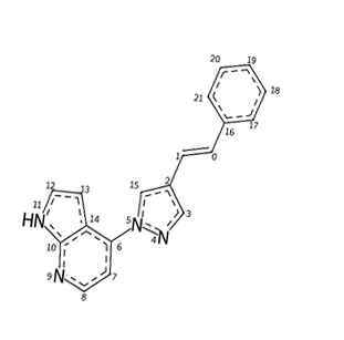 C(=Cc1cnn(-c2ccnc3[nH]ccc23)c1)c1ccccc1